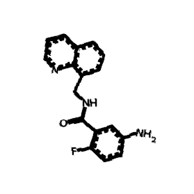 Nc1ccc(F)c(C(=O)NCc2cccc3cccnc23)c1